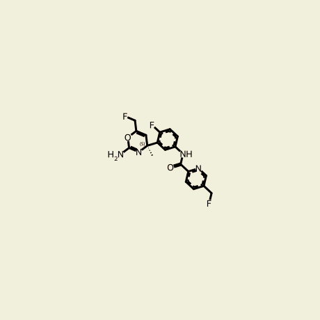 C[C@@]1(c2cc(NC(=O)c3ccc(CF)cn3)ccc2F)C=C(CF)OC(N)=N1